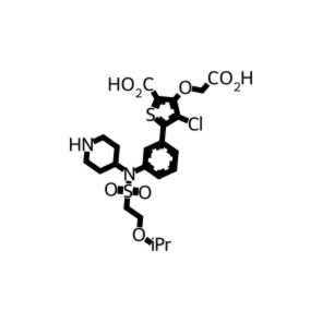 CC(C)OCCS(=O)(=O)N(c1cccc(-c2sc(C(=O)O)c(OCC(=O)O)c2Cl)c1)C1CCNCC1